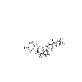 O=C(NCC(F)(F)F)c1ccc(-n2nnc(C(=O)NCCCO)c2CCCCCF)cc1